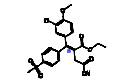 CCOC(=O)/C(CC(=O)O)=C(/c1ccc(S(C)(=O)=O)cc1)c1ccc(OC)c(Cl)c1